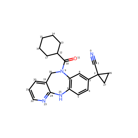 N#CC1(c2ccc3c(c2)N(C(=O)C2CCCCC2)Cc2cccnc2N3)CC1